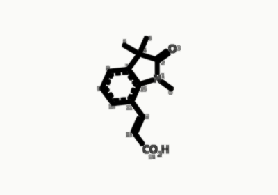 CN1C(=O)C(C)(C)c2cccc(C=CC(=O)O)c21